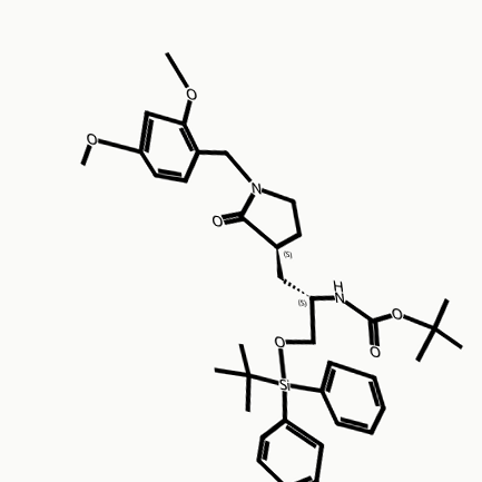 COc1ccc(CN2CC[C@@H](C[C@@H](CO[Si](c3ccccc3)(c3ccccc3)C(C)(C)C)NC(=O)OC(C)(C)C)C2=O)c(OC)c1